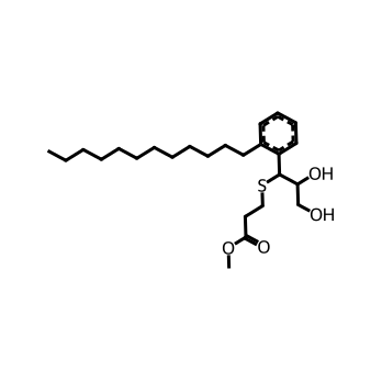 CCCCCCCCCCCCc1ccccc1C(SCCC(=O)OC)C(O)CO